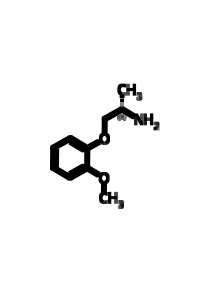 COc1ccccc1OC[C@H](C)N